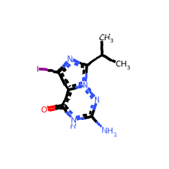 CC(C)c1nc(I)c2c(=O)[nH]c(N)nn12